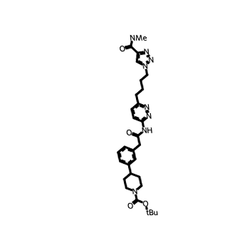 CNC(=O)c1cn(CCCCc2ccc(NC(=O)Cc3cccc(C4CCN(C(=O)OC(C)(C)C)CC4)c3)nn2)nn1